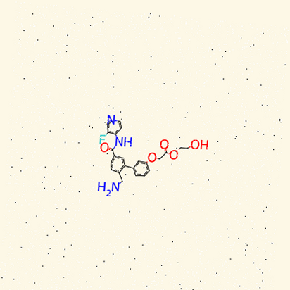 NCc1ccc(C(=O)Nc2ccncc2F)cc1-c1cccc(OCC(=O)OCCO)c1